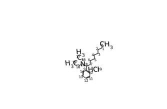 CCCCCCCCC(c1ccccc1)N(CC)CC.Cl